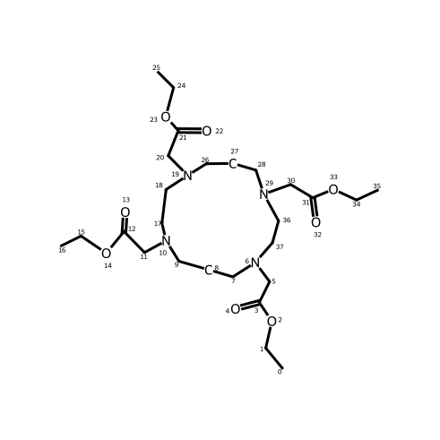 CCOC(=O)CN1CCCN(CC(=O)OCC)CCN(CC(=O)OCC)CCCN(CC(=O)OCC)CC1